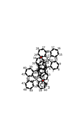 Cc1ccc2c(-c3ccccc3[Si](c3ccccc3)(c3ccccc3)c3ccccc3)c3ccccc3c(-c3ccccc3[Si](c3ccccc3)(c3ccccc3)c3ccccc3)c2c1